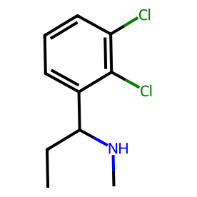 CCC(NC)c1cccc(Cl)c1Cl